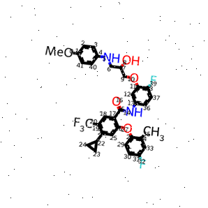 COc1ccc(NCC(O)COc2cc(NC(=O)c3cc(C(F)(F)F)c(C4CC4)cc3Oc3ccc(F)cc3C)ccc2F)cc1